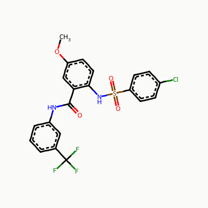 COc1ccc(NS(=O)(=O)c2ccc(Cl)cc2)c(C(=O)Nc2cccc(C(F)(F)F)c2)c1